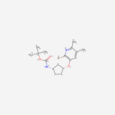 Cc1cc(O[C@@H]2CC[C@H](NC(=O)OC(C)(C)C)C2)c(Br)nc1C